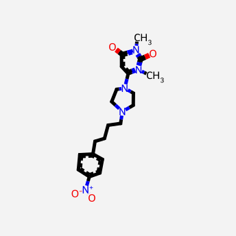 Cn1c(N2CCN(CCCCc3ccc([N+](=O)[O-])cc3)CC2)cc(=O)n(C)c1=O